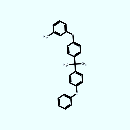 Cc1cccc(Oc2ccc(C(C)(C)c3ccc(Oc4ccccc4)cc3)cc2)c1